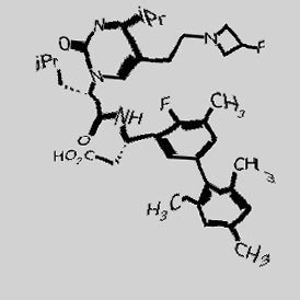 Cc1cc(C)c(-c2cc(C)c(F)c([C@H](CC(=O)O)NC(=O)[C@H](CC(C)C)n3cc(CCN4CC(F)C4)c(C(C)C)nc3=O)c2)c(C)c1